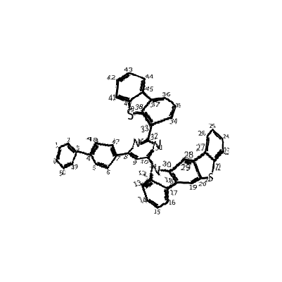 c1ccc(-c2ccc(-c3cc(-n4c5ccccc5c5cc6sc7ccccc7c6cc54)nc(-c4cccc5c4sc4ccccc45)n3)cc2)cc1